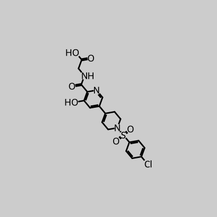 O=C(O)CNC(=O)c1ncc(C2=CCN(S(=O)(=O)c3ccc(Cl)cc3)CC2)cc1O